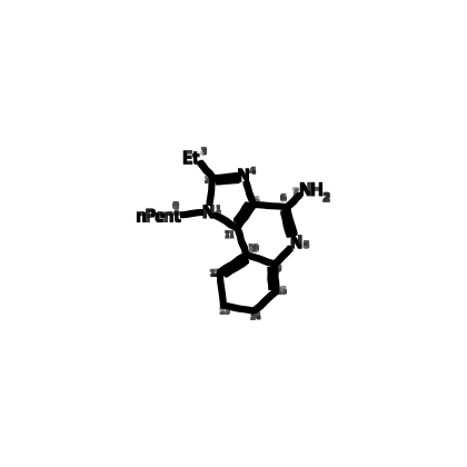 CCCCCn1c(CC)nc2c(N)nc3c(c21)=CCCC=3